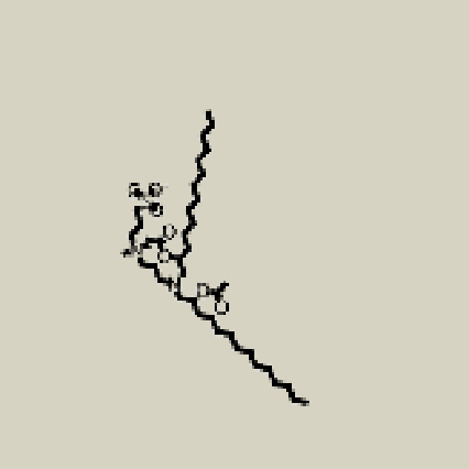 CCCCCCCCCCCCC(CN(CCC[N+](C)(C)CCCS(=O)(=O)[O-])CC(CCCCCCCCCCCC)OC(C)=O)OC(C)=O